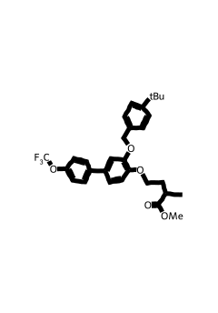 COC(=O)C(C)CCOc1ccc(-c2ccc(OC(F)(F)F)cc2)cc1OCc1ccc(C(C)(C)C)cc1